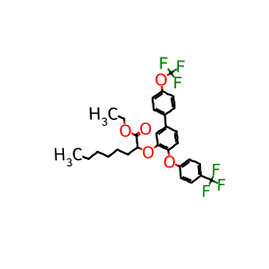 CCCCCCC(Oc1cc(-c2ccc(OC(F)(F)F)cc2)ccc1Oc1ccc(C(F)(F)F)cc1)C(=O)OCC